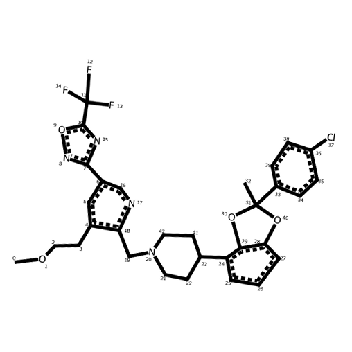 COCCc1cc(-c2noc(C(F)(F)F)n2)cnc1CN1CCC(c2cccc3c2OC(C)(c2ccc(Cl)cc2)O3)CC1